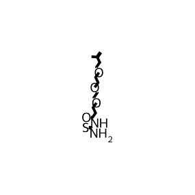 C=C(C)CCOCCOCCOCCC(=O)NC(N)=S